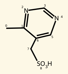 Cc1ncncc1CS(=O)(=O)O